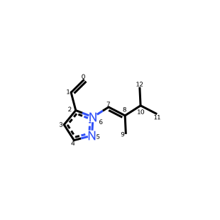 C=Cc1ccnn1/C=C(\C)C(C)C